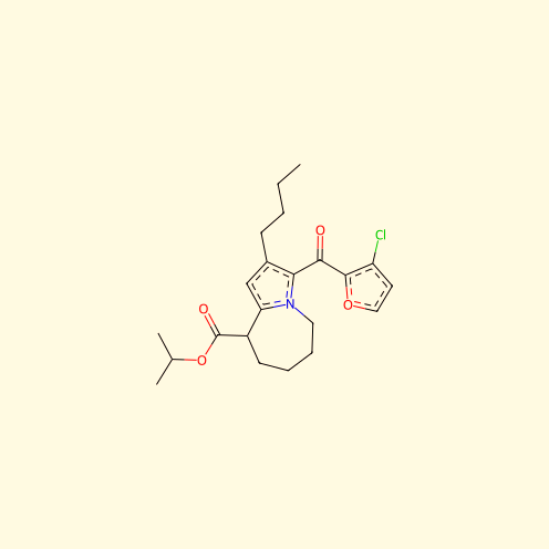 CCCCc1cc2n(c1C(=O)c1occc1Cl)CCCCC2C(=O)OC(C)C